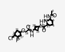 CC(=O)Nc1cccc(C(=O)NC23CC(NC(=O)COc4ccc(Cl)c(F)c4)(C2)C3)n1